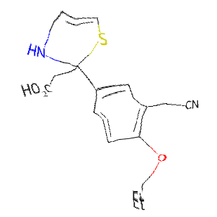 CCOc1ccc(C2(C(=O)O)NC=CS2)cc1C#N